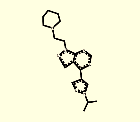 CC(C)n1cc(-c2ncnc3c2cnn3CCN2CCCCC2)cn1